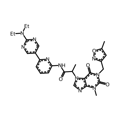 CCN(CC)c1ncc(-c2cccc(NC(=O)C(C)n3cnc4c3c(=O)n(Cc3cc(C)on3)c(=O)n4C)n2)cn1